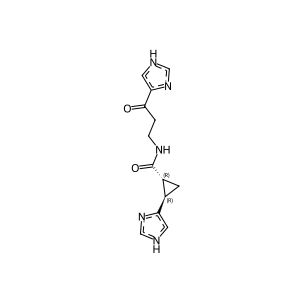 O=C(CCNC(=O)[C@@H]1C[C@H]1c1c[nH]cn1)c1c[nH]cn1